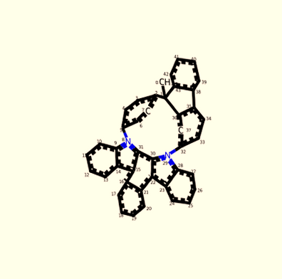 CC12c3ccc(cc3)-n3c4ccccc4c4c5ccccc5c5c6ccccc6n(c5c43)-c3ccc(c1c3)-c1ccccc12